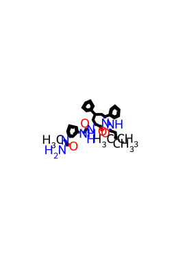 CN(C(N)=O)c1cccc(NC(=O)NC2CC(c3ccccc3)CC(c3ccccc3)N(NC(=O)CC(C)(C)C)C2=O)c1